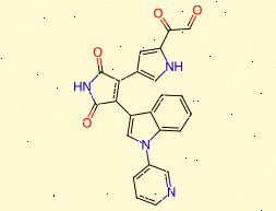 O=CC(=O)c1cc(C2=C(c3cn(-c4cccnc4)c4ccccc34)C(=O)NC2=O)c[nH]1